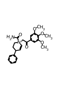 COc1cc(C(=O)C[N+]2(C(N)=O)C=CC(c3ccccc3)CC2)cc(OC)c1OC